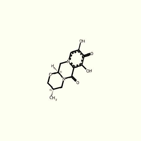 C[C@@H]1CO[C@H]2Cn3cc(O)c(=O)c(O)c3C(=O)N2C1